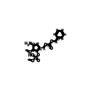 COC1[C@@H](OP(=O)(O)OC)[C@@H](COC(=O)OCc2ccccc2)C[C@@H]1N